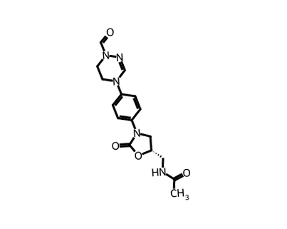 CC(=O)NC[C@H]1CN(c2ccc(N3C=NN(C=O)CC3)cc2)C(=O)O1